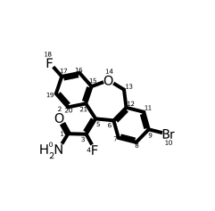 NC(=O)C(F)=C1c2ccc(Br)cc2COc2cc(F)ccc21